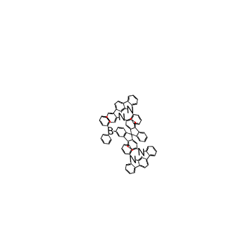 c1ccc(B(c2ccccc2)c2ccc3c(c2)-c2ccc(-n4c5ccccc5c5ccc6c7ccccc7n(-c7ccccc7)c6c54)cc2C32c3ccccc3-c3ccc(-n4c5ccccc5c5ccc6c7ccccc7n(-c7ccccc7)c6c54)cc32)cc1